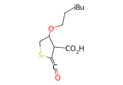 CCC(C)CCOC1CSC(=C=O)C1C(=O)O